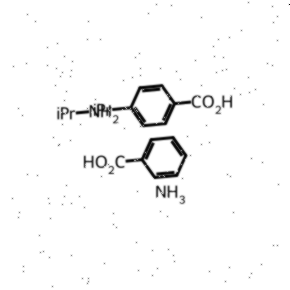 CC(C)N.CC(C)c1ccc(C(=O)O)cc1.N.O=C(O)c1ccccc1